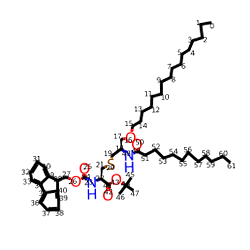 CCCCCCCCCCCCCCCCOC[C@H](CSC[C@H](NC(=O)OCC1c2ccccc2-c2ccccc21)C(=O)OC(C)(C)C)NC(=O)CCCCCCCCCCC